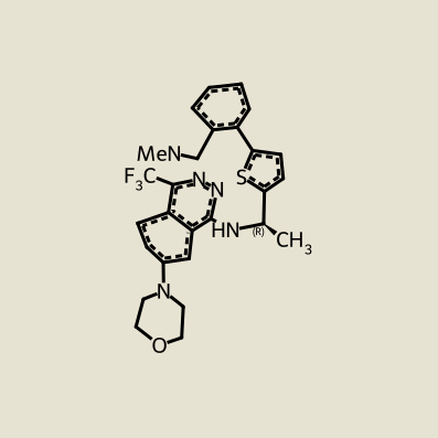 CNCc1ccccc1-c1ccc([C@@H](C)Nc2nnc(C(F)(F)F)c3ccc(N4CCOCC4)cc23)s1